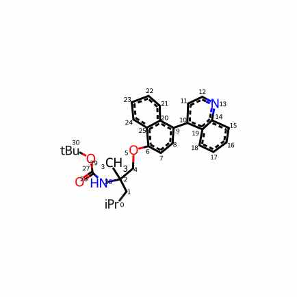 CC(C)CC(C)(COc1ccc(-c2ccnc3ccccc23)c2ccccc12)NC(=O)OC(C)(C)C